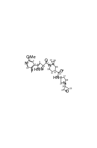 COc1cc(-c2cc(C(=O)N3CCC(C(=O)NC4CCN(C5COC5)C4)CC34CC4)n[nH]2)c(F)cn1